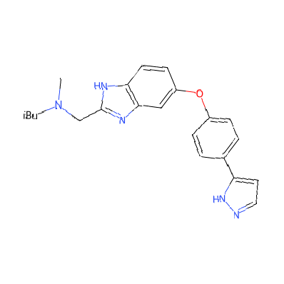 CCC(C)N(C)Cc1nc2cc(Oc3ccc(-c4ccn[nH]4)cc3)ccc2[nH]1